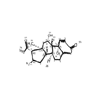 C[C@@H]1C[C@H]2[C@@H]3CCC4=CC(=O)C=C[C@]4(C)[C@H]3[C@@H](O)C[C@]2(C)[C@H]1C(=O)S